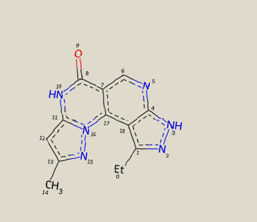 CCc1n[nH]c2ncc3c(=O)[nH]c4cc(C)nn4c3c12